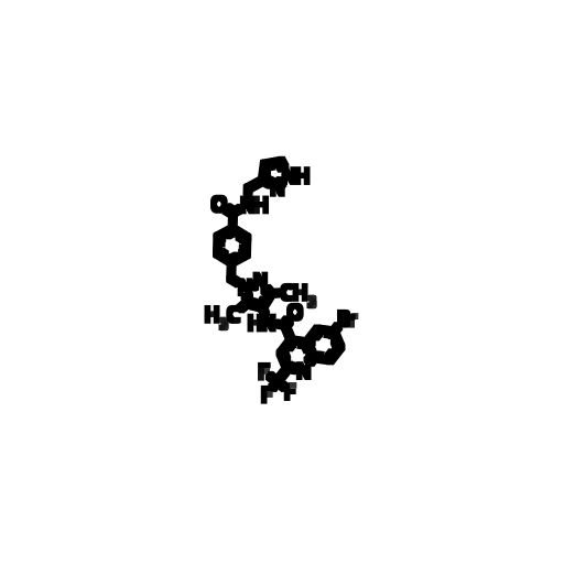 Cc1nn(Cc2ccc(C(=O)NCc3cc[nH]n3)cc2)c(C)c1NC(=O)c1cc(C(F)(F)F)nc2ccc(Br)cc12